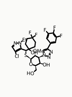 CCn1ncc(Cl)c1[C@H](S[C@@H]1O[C@H](CO)[C@H](O)[C@H](n2cc(-c3cc(F)c(F)c(F)c3)nn2)[C@H]1OC)C1(O)CCC(F)(F)CC1